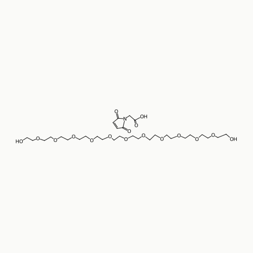 O=C(O)CN1C(=O)C=CC1=O.OCCOCCOCCOCCOCCOCCOCCOCCOCCOCCOCCOCCO